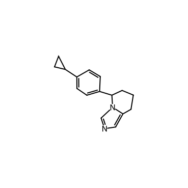 c1cc(C2CCCc3cncn32)ccc1C1CC1